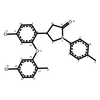 Cc1ccc(N2CC(c3ccc(Cl)cc3Oc3cc(Cl)ccc3C)CC2=O)cc1